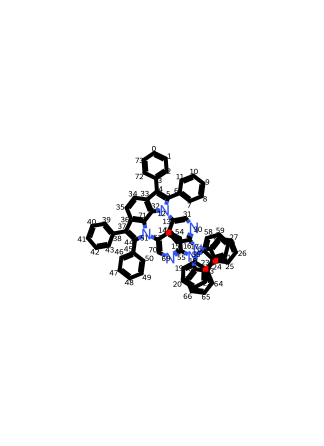 c1ccc(-c2c(-c3ccccc3)n(-c3ccc(-n4c5ccccc5c5ccccc54)nc3)c3c2ccc2c(-c4ccccc4)c(-c4ccccc4)n(-c4ccc(-n5c6ccccc6c6ccccc65)nc4)c23)cc1